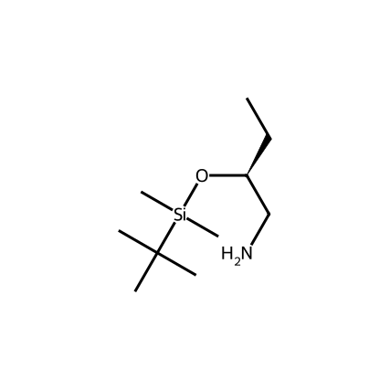 CC[C@@H](CN)O[Si](C)(C)C(C)(C)C